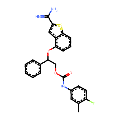 Cc1cc(NC(=O)OCC(Oc2cccc3sc(C(=N)N)cc23)c2ccccc2)ccc1F